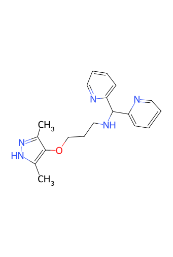 Cc1n[nH]c(C)c1OCCCNC(c1ccccn1)c1ccccn1